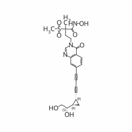 CC(CCn1cnc2cc(C#CC#C[C@@H]3C[C@H]3[C@H](O)CO)ccc2c1=O)(C(=O)NO)S(C)(=O)=O